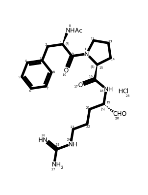 CC(=O)N[C@H](Cc1ccccc1)C(=O)N1CCC[C@H]1C(=O)N[C@H](C=O)CCCNC(=N)N.Cl